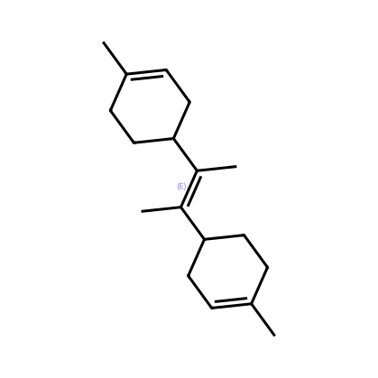 CC1=CCC(/C(C)=C(\C)C2CC=C(C)CC2)CC1